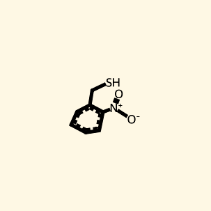 O=[N+]([O-])c1ccccc1CS